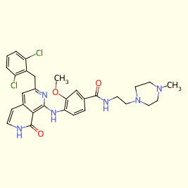 COc1cc(C(=O)NCCN2CCN(C)CC2)ccc1Nc1nc(Cc2c(Cl)cccc2Cl)cc2cc[nH]c(=O)c12